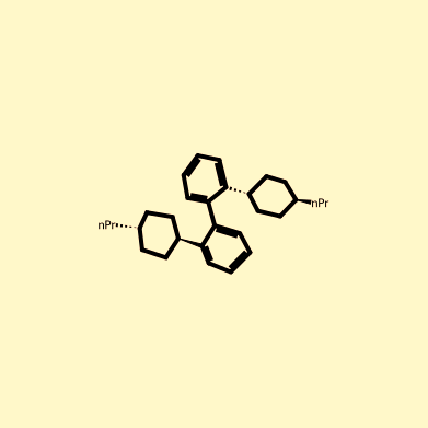 CCC[C@H]1CC[C@H](c2ccccc2-c2ccccc2[C@H]2CC[C@H](CCC)CC2)CC1